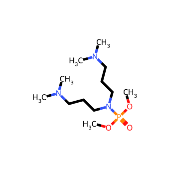 COP(=O)(OC)N(CCCN(C)C)CCCN(C)C